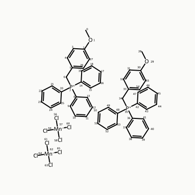 COc1ccc(C[P+](c2ccccc2)(c2ccccc2)c2ccccc2)cc1.COc1ccc(C[P+](c2ccccc2)(c2ccccc2)c2ccccc2)cc1.[Cl][Mn-]([Cl])([Cl])[Cl].[Cl][Mn-]([Cl])([Cl])[Cl]